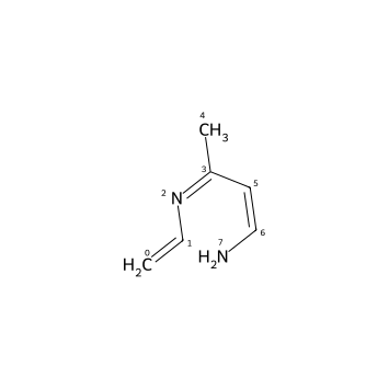 C=C/N=C(C)\C=C/N